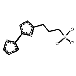 Cl[Si](Cl)(Cl)CCCc1ccc(-c2cccs2)s1